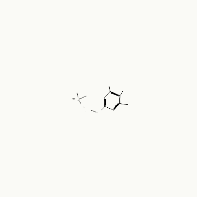 CC[Si](CC)(CC)[O][Zn][O]c1cc(F)c(F)c(F)c1